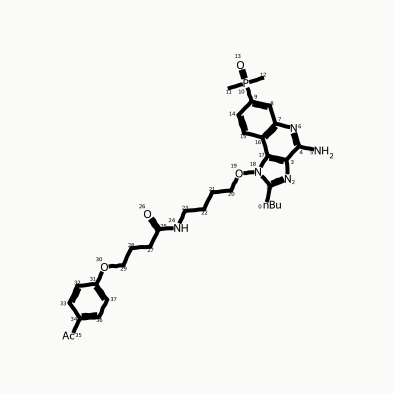 CCCCc1nc2c(N)nc3cc(P(C)(C)=O)ccc3c2n1OCCCCNC(=O)CCCOc1ccc(C(C)=O)cc1